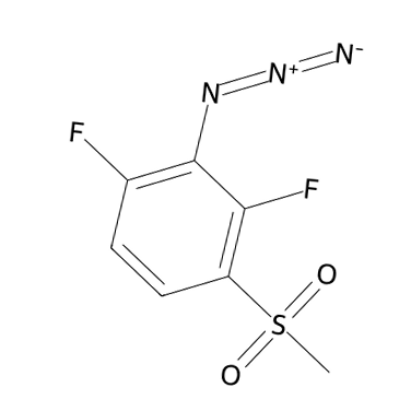 CS(=O)(=O)c1ccc(F)c(N=[N+]=[N-])c1F